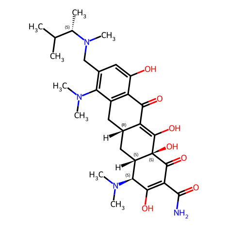 CC(C)[C@H](C)N(C)Cc1cc(O)c2c(c1N(C)C)C[C@H]1C[C@H]3[C@H](N(C)C)C(O)=C(C(N)=O)C(=O)[C@@]3(O)C(O)=C1C2=O